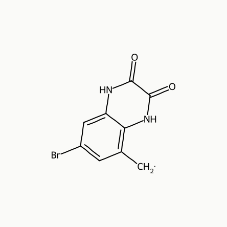 [CH2]c1cc(Br)cc2[nH]c(=O)c(=O)[nH]c12